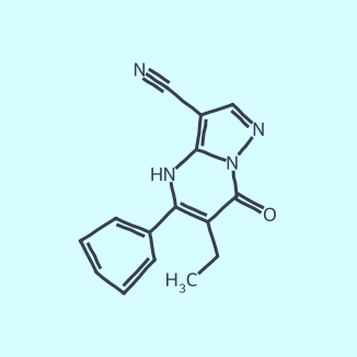 CCc1c(-c2ccccc2)[nH]c2c(C#N)cnn2c1=O